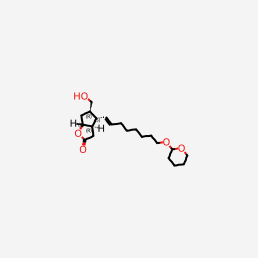 O=C1C[C@@H]2[C@@H](C=CCCCCCCOC3CCCCO3)[C@H](CO)C[C@H]2O1